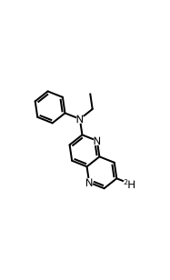 [2H]c1cnc2ccc(N(CC)c3ccccc3)nc2c1